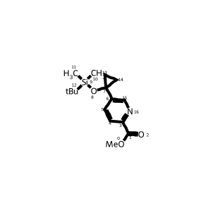 COC(=O)c1ccc(C2(O[Si](C)(C)C(C)(C)C)CC2)cn1